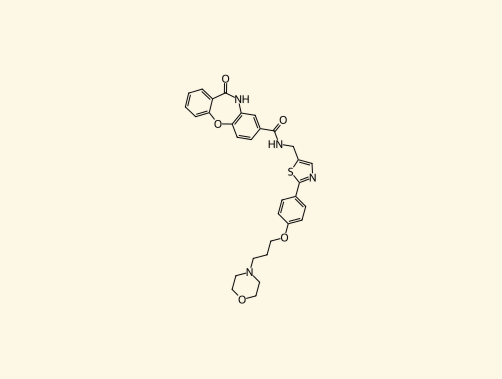 O=C(NCc1cnc(-c2ccc(OCCCN3CCOCC3)cc2)s1)c1ccc2c(c1)NC(=O)c1ccccc1O2